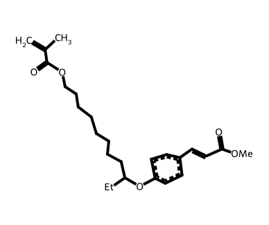 C=C(C)C(=O)OCCCCCCCCC(CC)Oc1ccc(C=CC(=O)OC)cc1